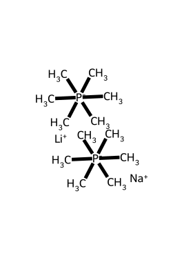 C[P-](C)(C)(C)(C)C.C[P-](C)(C)(C)(C)C.[Li+].[Na+]